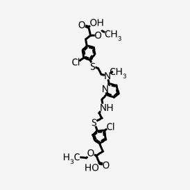 CCOC(Cc1ccc(SCCNCc2cccc(N(C)CCSc3ccc(CC(OCC)C(=O)O)cc3Cl)n2)c(Cl)c1)C(=O)O